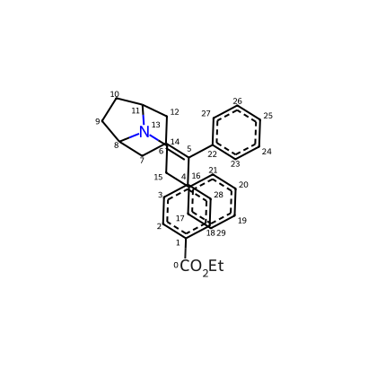 CCOC(=O)c1ccc(C(=C2CC3CCC(C2)N3CCc2ccccc2)c2ccccc2)cc1